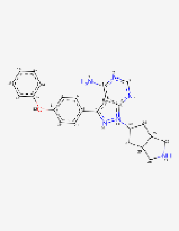 Nc1ncnc2c1c(-c1ccc(Oc3ccccc3)cc1)nn2C1CC2CNCC2C1